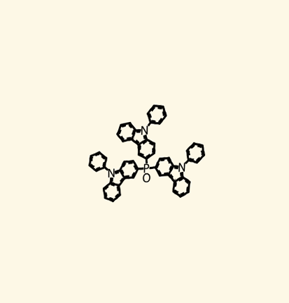 O=P(c1ccc2c(c1)c1ccccc1n2-c1ccccc1)(c1ccc2c(c1)c1ccccc1n2-c1ccccc1)c1ccc2c(c1)c1ccccc1n2-c1ccccc1